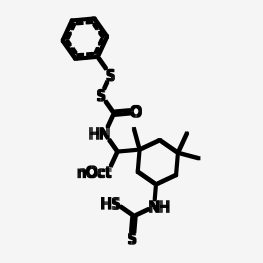 CCCCCCCCC(NC(=O)SSc1ccccc1)C1(C)CC(NC(=S)S)CC(C)(C)C1